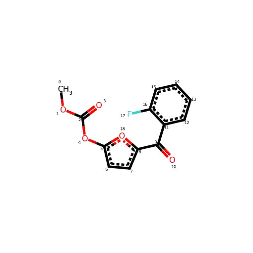 COC(=O)Oc1ccc(C(=O)c2ccccc2F)o1